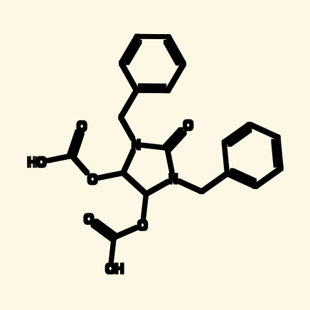 O=C(O)OC1C(OC(=O)O)N(Cc2ccccc2)C(=O)N1Cc1ccccc1